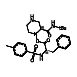 Cc1ccc(S(=O)(=O)N[C@@H](Cc2ccccc2)C(=O)ON2CCNC[C@H]2C(=O)NC(C)(C)C)cc1